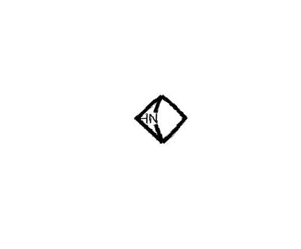 C1C2CC1N2